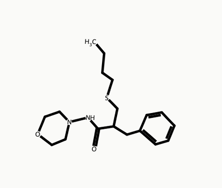 CCCCSCC(Cc1ccccc1)C(=O)NN1CCOCC1